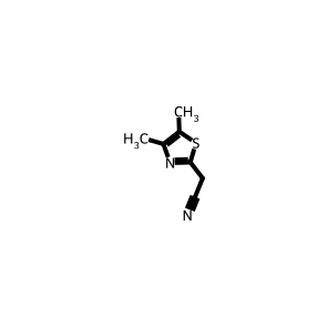 Cc1nc(CC#N)sc1C